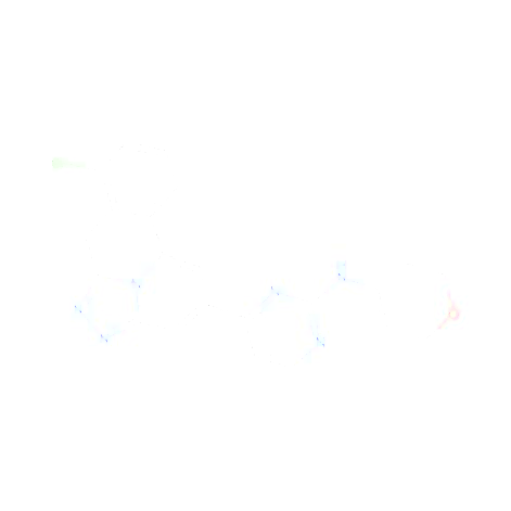 Clc1cccc2c1Cc1nnc3cc(-c4ccnc(NC5CCOCC5)n4)cc-2n13